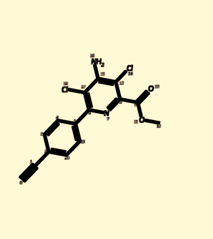 C#Cc1ccc(-c2nc(C(=O)OC)c(Cl)c(N)c2Cl)cc1